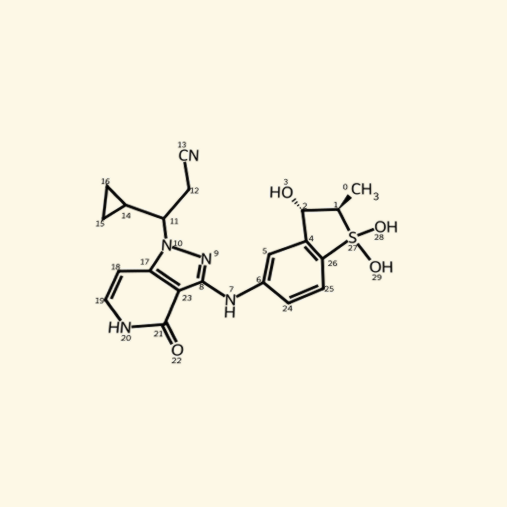 C[C@@H]1[C@@H](O)c2cc(Nc3nn(C(CC#N)C4CC4)c4cc[nH]c(=O)c34)ccc2S1(O)O